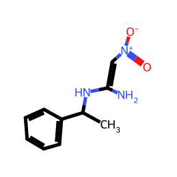 CC(N/C(N)=C/[N+](=O)[O-])c1ccccc1